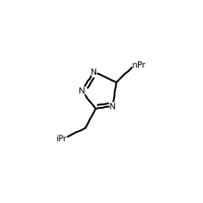 CCCC1N=NC(CC(C)C)=N1